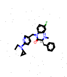 CCN(c1ccc(CN(C(=O)[C@H](Cc2ccccc2)NC)c2ccc(F)cc2)cn1)C1CC1